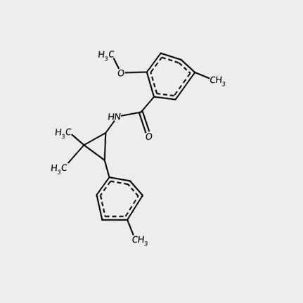 COc1ccc(C)cc1C(=O)NC1C(c2ccc(C)cc2)C1(C)C